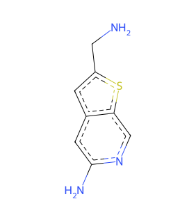 NCc1cc2cc(N)ncc2s1